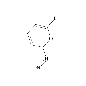 [N]=NC1C=CC=C(Br)O1